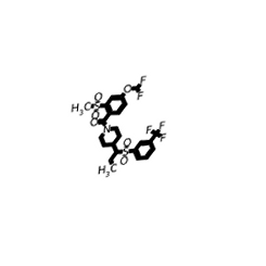 CCC(C1CCN(C(=O)c2ccc(OC(F)F)cc2S(C)(=O)=O)CC1)S(=O)(=O)c1cccc(C(F)(F)F)c1